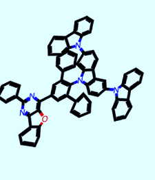 c1ccc(-c2nc(-c3cc(-c4ccccc4)c(-n4c5ccc(-n6c7ccccc7c7ccccc76)cc5c5ccc(-n6c7ccccc7c7ccccc76)cc54)c(-c4ccccc4)c3)c3oc4ccccc4c3n2)cc1